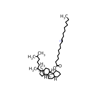 CCCCCCCC/C=C/CCCCCCCC(=O)OC1CCC[C@H]2CC[C@H]3[C@@H]4CC[C@H]([C@H](C)CCCC(C)C)[C@@]4(C)CC[C@@H]3[C@@]12C